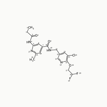 CCC(=O)Nc1cc(C(=O)NCc2cnc(OCC(F)F)c(Cl)c2)cc(C)n1